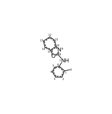 Cc1ccccc1Nc1nc2ccccc2o1